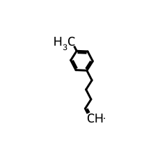 [CH]=CCCCc1ccc(C)cc1